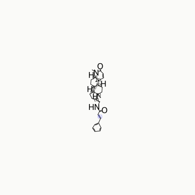 CN1C(=O)C=C[C@]2(C)[C@H]3CC[C@]4(C)[C@@H](CNC(=O)/C=C/c5ccccc5)CC[C@H]4[C@@H]3CC[C@@H]12